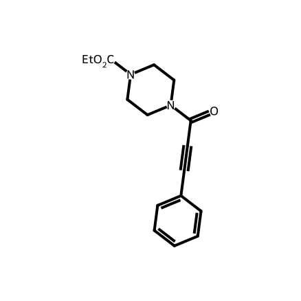 CCOC(=O)N1CCN(C(=O)C#Cc2ccccc2)CC1